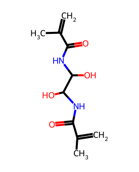 C=C(C)C(=O)NC(O)C(O)NC(=O)C(=C)C